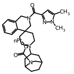 CCCOC(=O)N1CC2CCC1CC(N1CCC3(CC1)CN(C(=O)c1cc(C)n(C)n1)Cc1ccccc13)C2